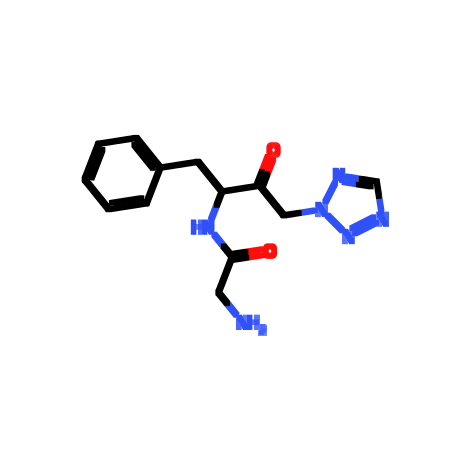 NCC(=O)NC(Cc1ccccc1)C(=O)Cn1ncnn1